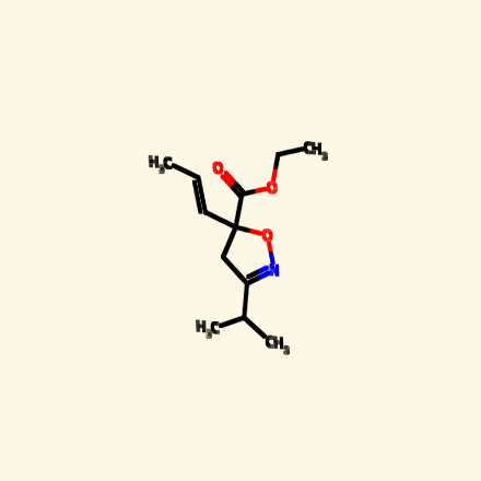 C/C=C/C1(C(=O)OCC)CC(C(C)C)=NO1